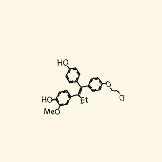 CCC(=C(c1ccc(O)cc1)c1ccc(OCCCl)cc1)c1ccc(O)c(OC)c1